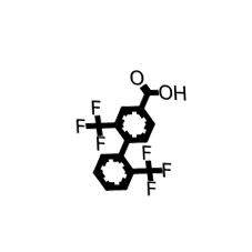 O=C(O)c1ccc(-c2ccccc2C(F)(F)F)c(C(F)(F)F)c1